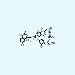 CCN(CC)CC(=O)Nc1c(C)cccc1C.Nc1ccn(C[C@@H](CO)OCP(=O)(O)O)c(=O)n1.O=C1Nc2ccc(Cl)cc2[C@@](C#CC2CC2)(C(F)(F)F)O1